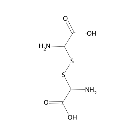 NC(SSC(N)C(=O)O)C(=O)O